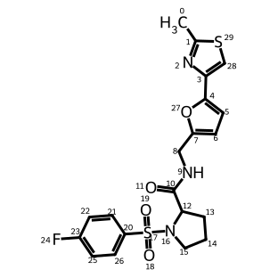 Cc1nc(-c2ccc(CNC(=O)C3CCCN3S(=O)(=O)c3ccc(F)cc3)o2)cs1